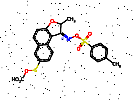 Cc1ccc(S(=O)(=O)O/N=C2/c3c(ccc4cc(SOC(=O)O)ccc34)OC2C)cc1